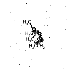 C=C(C)C(=O)OC1CCC(Oc2ccc3cc(-c4ccc(CCCCC)cc4OC)n(CCCCC)c3c2)C1C(F)(F)F